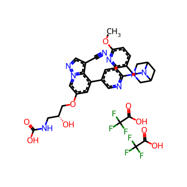 COc1ccc(CN2C3CC2CN(c2ccc(-c4cc(OC[C@H](O)CNC(=O)O)cn5ncc(C#N)c45)cn2)C3)cn1.O=C(O)C(F)(F)F.O=C(O)C(F)(F)F